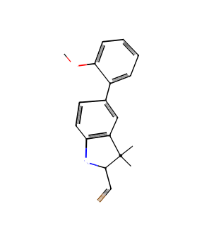 COc1ccccc1-c1ccc2c(c1)C(C)(C)C(C=S)N2